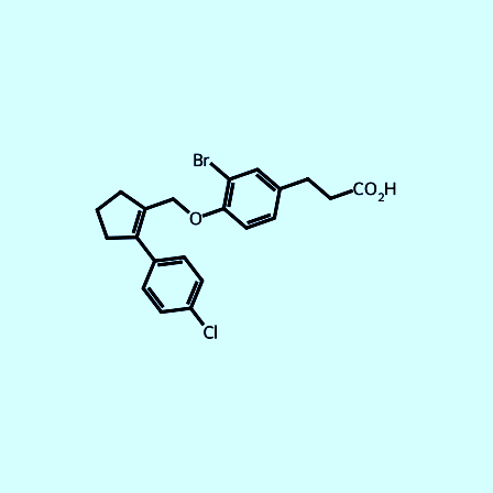 O=C(O)CCc1ccc(OCC2=C(c3ccc(Cl)cc3)CCC2)c(Br)c1